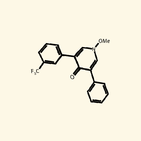 COn1cc(-c2ccccc2)c(=O)c(-c2cccc(C(F)(F)F)c2)c1